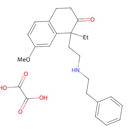 CCC1(CCNCCc2ccccc2)C(=O)CCc2ccc(OC)cc21.O=C(O)C(=O)O